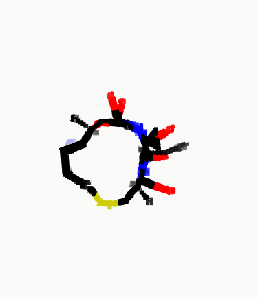 CC(C)[C@H]1NC(=O)[C@H]2CSSCC/C=C/[C@H](CC(=O)NC3(CC3)C(=O)N2)OC(=O)CNC1=O